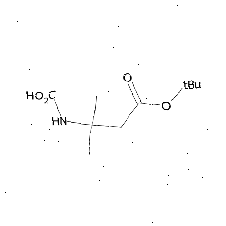 CC(C)(CC(=O)OC(C)(C)C)NC(=O)O